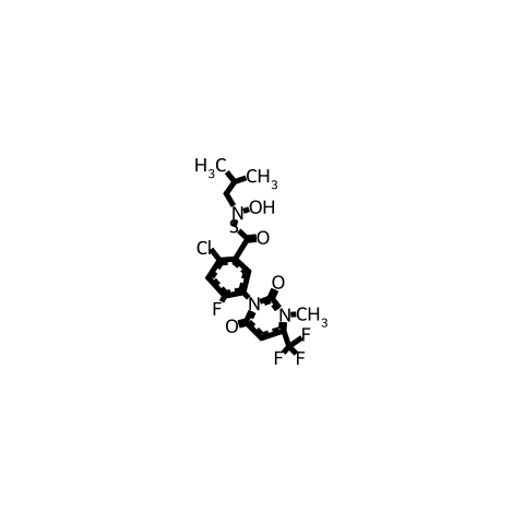 CC(C)CN(O)SC(=O)c1cc(-n2c(=O)cc(C(F)(F)F)n(C)c2=O)c(F)cc1Cl